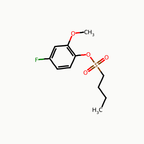 CCCCS(=O)(=O)Oc1ccc(F)cc1OC